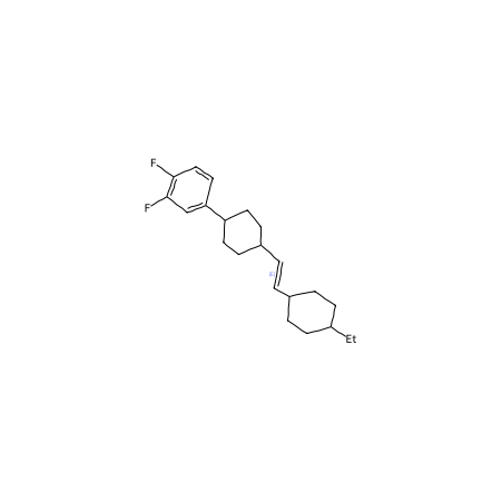 CCC1CCC(/C=C/C2CCC(c3ccc(F)c(F)c3)CC2)CC1